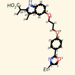 CCc1coc(-c2ccc(OCCCOc3ccc4[nH]c(C(C)C(=O)O)c(C)c4c3)cc2)n1